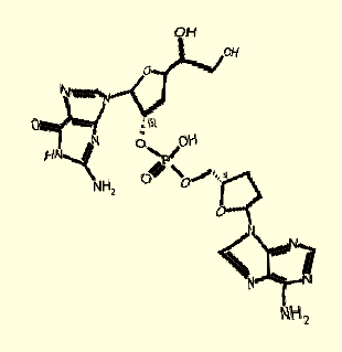 Nc1nc2c(ncn2C2OC(C(O)CO)C[C@@H]2OP(=O)(O)OC[C@@H]2CCC(n3cnc4c(N)ncnc43)O2)c(=O)[nH]1